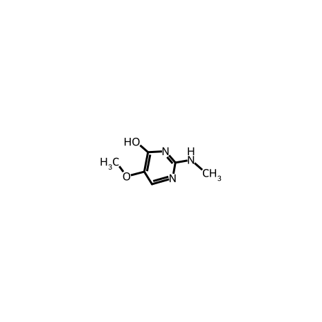 CNc1ncc(OC)c(O)n1